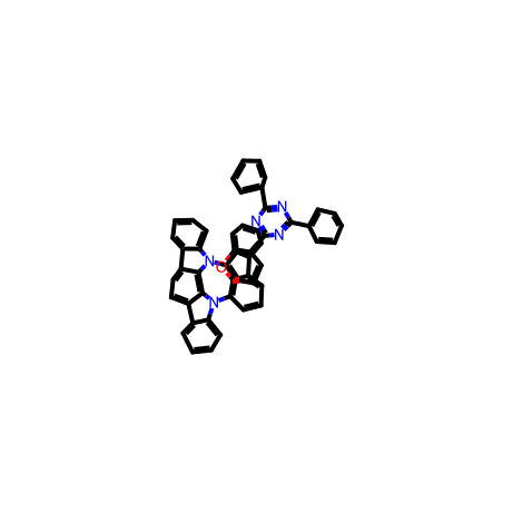 c1ccc(-c2nc(-c3ccccc3)nc(-c3cccc(-n4c5ccccc5c5ccc6c7ccccc7n(-c7cccc8c7oc7ccccc78)c6c54)c3)n2)cc1